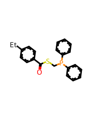 CCc1ccc(C(=O)SCP(c2ccccc2)c2ccccc2)cc1